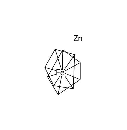 [CH]12[CH]3[CH]4[CH]5[CH]1[Fe]23451678[CH]2[CH]1[CH]6[CH]7[CH]28.[Zn]